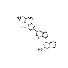 CC1CNCC(C)N1c1ccc(-c2cnc3c(-c4cc(O)nc5ccccc45)cnn3c2)cc1